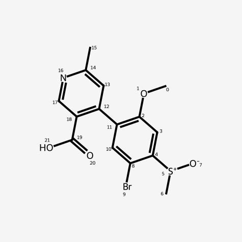 COc1cc([S+](C)[O-])c(Br)cc1-c1cc(C)ncc1C(=O)O